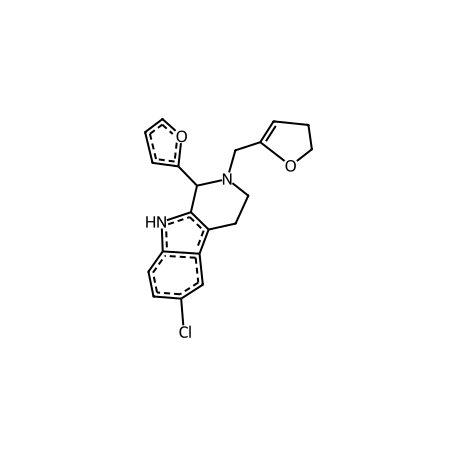 Clc1ccc2[nH]c3c(c2c1)CCN(CC1=CCCO1)C3c1ccco1